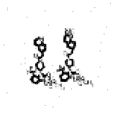 COP(=O)([O-])On1c(=O)n(C2CCN(C(=O)Cc3ccc4ncccc4c3)CC2)c2c(C(F)(F)F)cccc21.COP(=O)([O-])On1c(=O)n(C2CCN(C(=O)Cc3ccc4ncccc4c3)CC2)c2c(C(F)(F)F)cccc21.[Na+].[Na+]